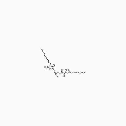 CCCCCCCCCCC(N)C(=O)NCCN(CC)CCNC(=O)C(N)CCCCCCCCCC